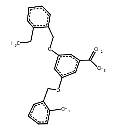 C=C(C)c1cc(OCc2ccccc2C)cc(OCc2ccccc2CC)c1